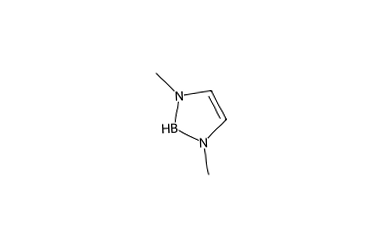 CN1BN(C)C=C1